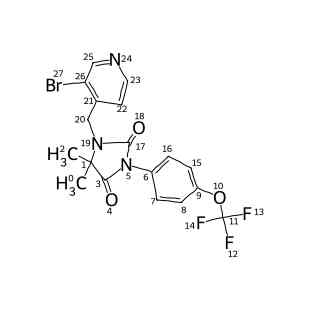 CC1(C)C(=O)N(c2ccc(OC(F)(F)F)cc2)C(=O)N1Cc1ccncc1Br